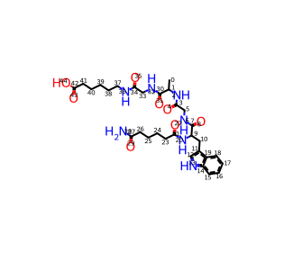 CC(NC(=O)CNC(=O)C(Cc1c[nH]c2ccccc12)NC(=O)CCCCC(N)=O)C(=O)NCC(=O)NCCCCCC(=O)O